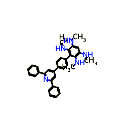 CNc1cc(NC)c(NC)c(-c2ccc(-c3cc(-c4ccccc4)nc(-c4ccccc4)c3)cc2)c1NC